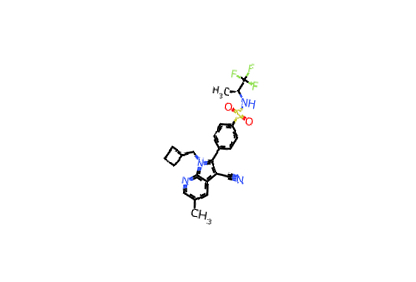 Cc1cnc2c(c1)c(C#N)c(-c1ccc(S(=O)(=O)N[C@@H](C)C(F)(F)F)cc1)n2CC1CCC1